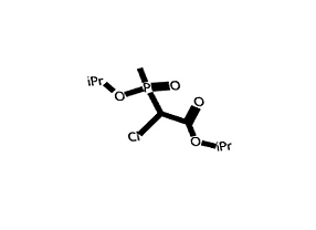 CC(C)OC(=O)C(Cl)P(C)(=O)OC(C)C